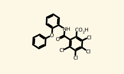 O=C(O)c1c(Cl)c(Cl)c(Cl)c(Cl)c1C(=O)Nc1ccccc1Oc1ccccc1